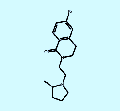 C[C@@H]1CCCN1CCN1CCc2cc(Br)ccc2C1=O